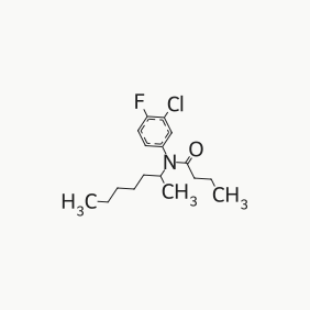 CCCCCC(C)N(C(=O)CCC)c1ccc(F)c(Cl)c1